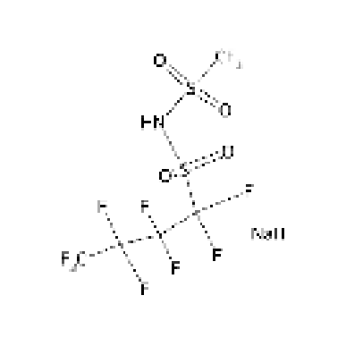 O=S(=O)(NS(=O)(=O)C(F)(F)C(F)(F)C(F)(F)C(F)(F)F)C(F)(F)F.[NaH]